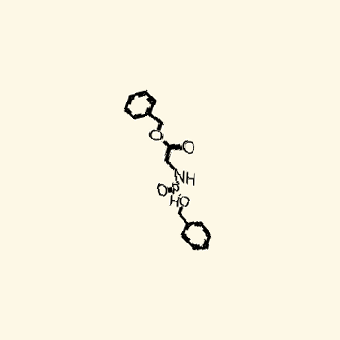 O=C(CN[PH](=O)OCc1ccccc1)OCc1ccccc1